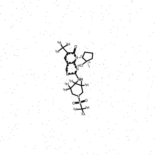 [2H]C([2H])([2H])c1cc2cnc(NC3([2H])C([2H])([2H])CN(S(=O)(=O)C([2H])([2H])[2H])CC3([2H])[2H])nc2n([C@@H]2CCC[C@@]2(C)O)c1=O